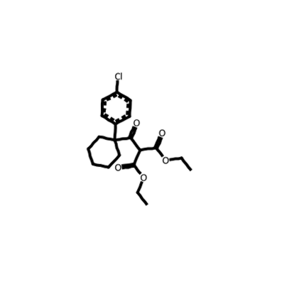 CCOC(=O)C(C(=O)OCC)C(=O)C1(c2ccc(Cl)cc2)CCCCC1